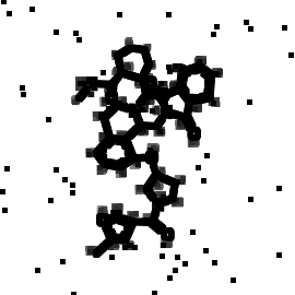 CNC(=O)[C@H]1CCCC[C@H]1C(=O)N1CCc2cccc(O[C@H]3CCN(C(=O)c4cc(C)on4)C3)c2C1CN1C(=O)c2ccccc2C1=O